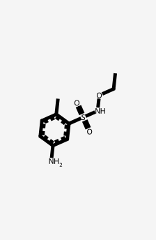 CCONS(=O)(=O)c1cc(N)ccc1C